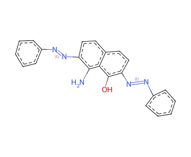 Nc1c(/N=N/c2ccccc2)ccc2ccc(/N=N/c3ccccc3)c(O)c12